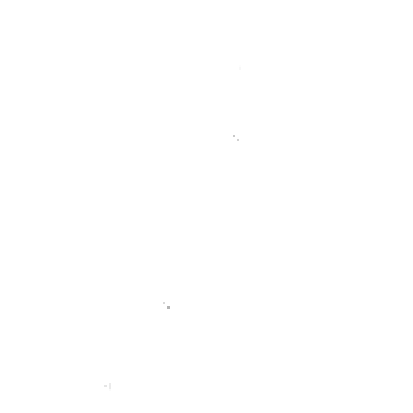 NC(=O)c1ccc(Oc2cccc3c(CN4CC(Oc5ccccc5)C4)cccc23)nc1